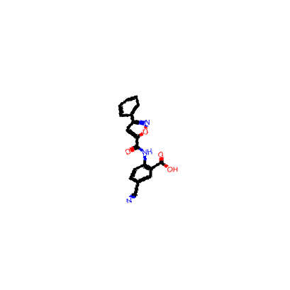 N#Cc1ccc(NC(=O)c2cc(-c3ccccc3)no2)c(C(=O)O)c1